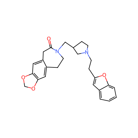 O=C1Cc2cc3c(cc2CCN1CC1CCN(CCc2cc4ccccc4o2)C1)OCO3